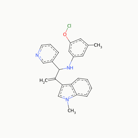 C=C(c1cn(C)c2ccccc12)C(Nc1cc(C)cc(OCl)c1)c1cccnc1